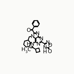 C[C@@H](Nc1nc(-c2noc(=O)[nH]2)nc2nc(C(=O)c3ccccc3)n(CC3CCCCC3)c12)C1CCC1